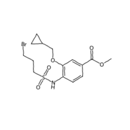 COC(=O)c1ccc(NS(=O)(=O)CCCBr)c(OCC2CC2)c1